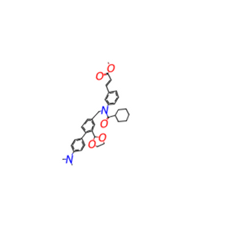 COC(=O)/C=C/c1cccc(N(Cc2ccc(-c3ccc(N(C)C)cc3)c(C3OCCO3)c2)C(=O)C2CCCCC2)c1